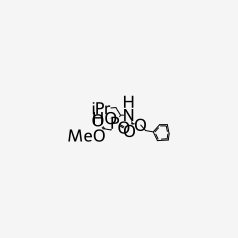 COC(=O)CP(=O)(O)C(CC(C)C)NC(=O)OCc1ccccc1